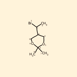 CC(Br)C1COC(C)(C)OC1